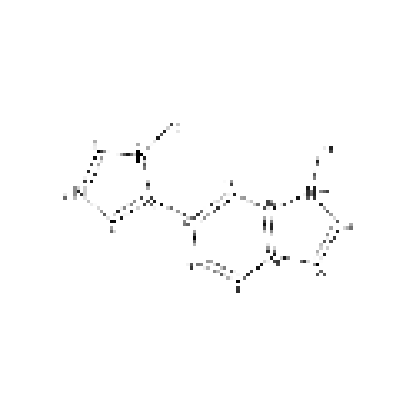 Cn1cncc1-c1ccc2ccn(C)c2c1